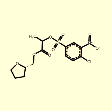 CC(OS(=O)(=O)c1ccc(Cl)c([N+](=O)[O-])c1)C(=O)OC[C@@H]1CCCO1